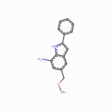 CC(C)(C)OCc1cc(N)c2[nH]c(-c3ccccc3)cc2c1